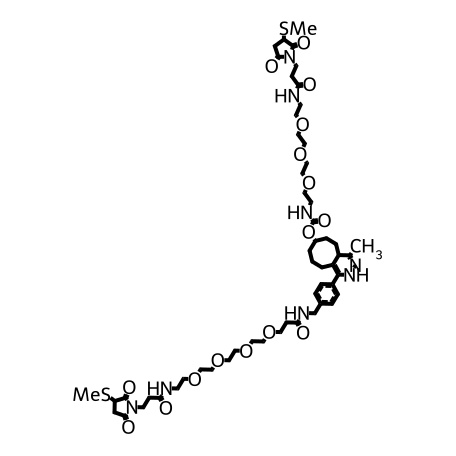 CSC1CC(=O)N(CCC(=O)NCCOCCOCCOCCNC(=O)OC2CCCC3=C(c4ccc(CNC(=O)CCOCCOCCOCCOCCNC(=O)CCN5C(=O)CC(SC)C5=O)cc4)NN=C(C)C3CC2)C1=O